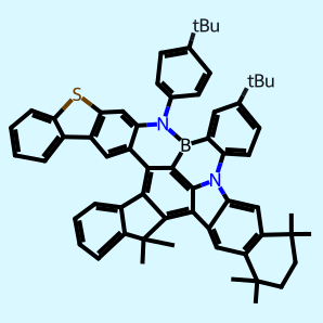 CC(C)(C)c1ccc(N2B3c4cc(C(C)(C)C)ccc4-n4c5cc6c(cc5c5c7c(c(c3c54)-c3cc4c(cc32)sc2ccccc24)-c2ccccc2C7(C)C)C(C)(C)CCC6(C)C)cc1